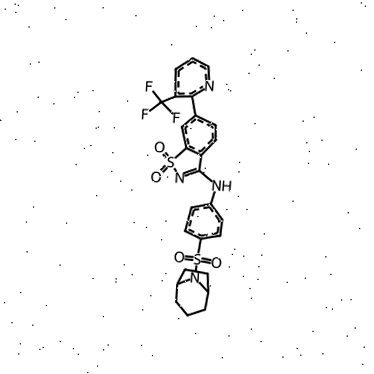 O=S1(=O)N=C(Nc2ccc(S(=O)(=O)N3C4CCCC3CC4)cc2)c2ccc(-c3ncccc3C(F)(F)F)cc21